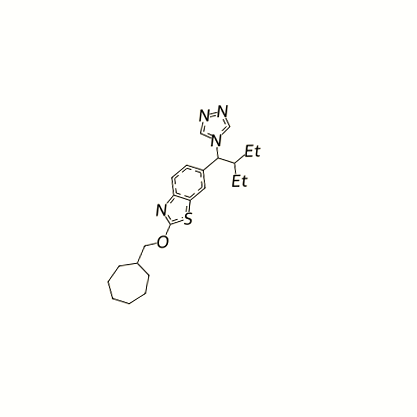 CCC(CC)C(c1ccc2nc(OCC3CCCCCC3)sc2c1)n1cnnc1